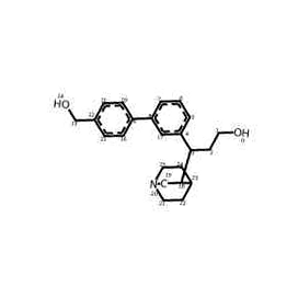 OCCC(c1cccc(-c2ccc(CO)cc2)c1)C1CN2CCC1CC2